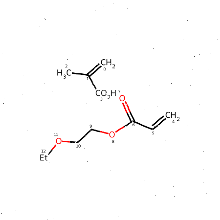 C=C(C)C(=O)O.C=CC(=O)OCCOCC